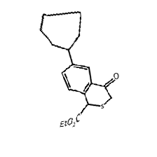 CCOC(=O)C1SCC(=O)c2cc(C3CCCCC3)ccc21